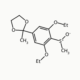 CCOc1cc(C2(C)OCCO2)cc(OCC)c1[S+](C)[O-]